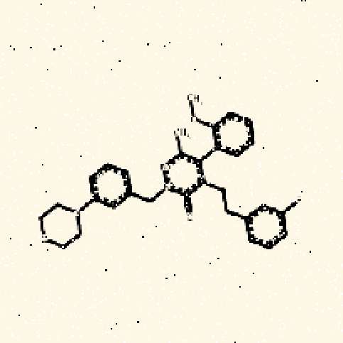 COc1ccccc1-c1c(C)nn(Cc2cccc(N3CCOCC3)c2)c(=O)c1CCc1cccc(F)c1